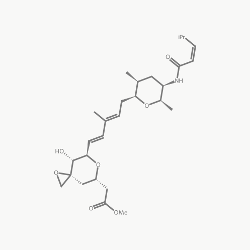 COC(=O)C[C@@H]1C[C@@]2(CO2)[C@H](O)[C@@H](/C=C/C(C)=C/C[C@@H]2O[C@H](C)[C@H](NC(=O)/C=C\C(C)C)C[C@@H]2C)O1